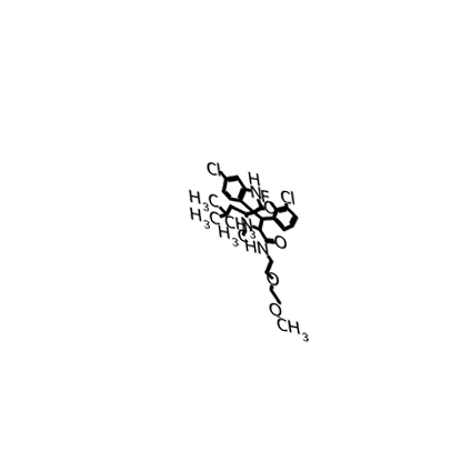 COCCOCCNC(=O)C1C(c2cccc(Cl)c2F)C2(C(=O)Nc3cc(Cl)ccc32)C(CC(C)(C)C)N1C